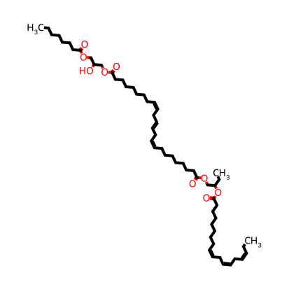 CC/C=C\C/C=C\C/C=C\CCCCCCCC(=O)OC(CC)COC(=O)CCCCCCC/C=C\CC=CC/C=C\CCCCCCCC(=O)OCC(O)COC(=O)CCCCCCC